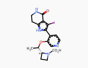 CC(Oc1cnccc1-c1[nH]c2c(c1I)C(=O)NCC2)[C@H]1CCN1C(=O)O